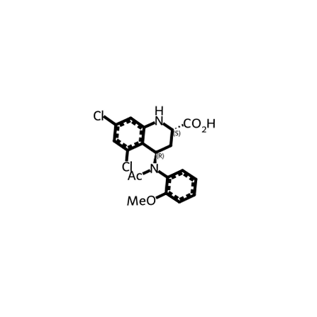 COc1ccccc1N(C(C)=O)[C@@H]1C[C@@H](C(=O)O)Nc2cc(Cl)cc(Cl)c21